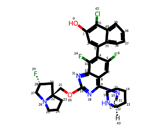 Oc1cc(-c2c(F)cc3c(N4C[C@H]5CCC4CN5)nc(OC[C@@]45CCCN4C[C@H](F)C5)nc3c2F)c2ccccc2c1Cl